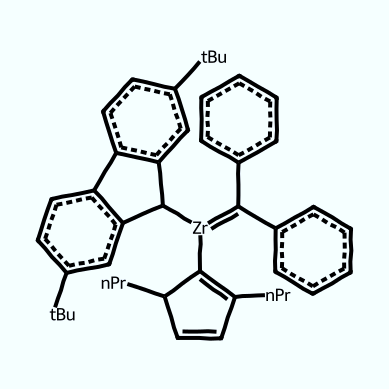 CCCC1=[C]([Zr](=[C](c2ccccc2)c2ccccc2)[CH]2c3cc(C(C)(C)C)ccc3-c3ccc(C(C)(C)C)cc32)C(CCC)C=C1